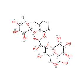 CC1CCC[C@@H](O[C@H](O)/C(O)=C(\O[C@H]2OC(CO)[C@H](O)C(O)C2O)[C@@H](O)CCO)C1OC1O[C@@H](C)C(O)C(O)[C@@H]1O